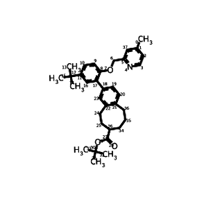 Cc1ccnc(COc2ccc(C(C)(C)C)cc2-c2ccc3c(c2)CCC(C(=O)OC(C)(C)C)CCC3)c1